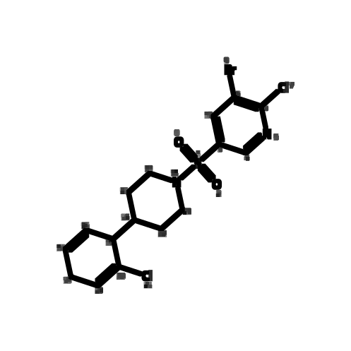 O=S(=O)(c1cnc(Cl)c(Br)c1)N1CCC(C2C=CCC=C2Cl)CC1